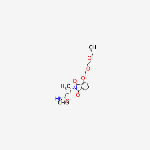 C#CCOCCOCCOc1cccc2c1C(=O)N(C(C)CCC(=O)NC=O)C2=O